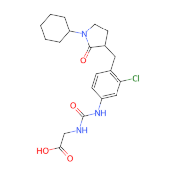 O=C(O)CNC(=O)Nc1ccc(CC2CCN(C3CCCCC3)C2=O)c(Cl)c1